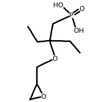 CCC(CC)(CP(=O)(O)O)OCC1CO1